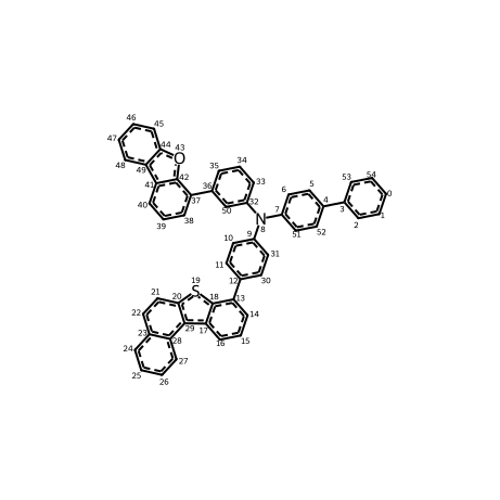 c1ccc(-c2ccc(N(c3ccc(-c4cccc5c4sc4ccc6ccccc6c45)cc3)c3cccc(-c4cccc5c4oc4ccccc45)c3)cc2)cc1